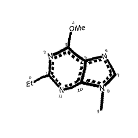 CCc1nc(OC)c2ncn(C)c2n1